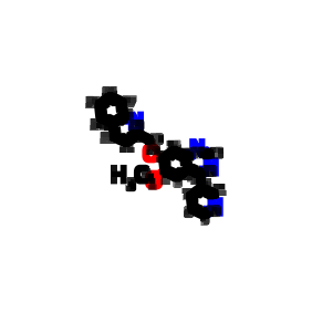 COc1cc2c(-c3cccnc3)ncnc2cc1OCc1ccc2ccccc2n1